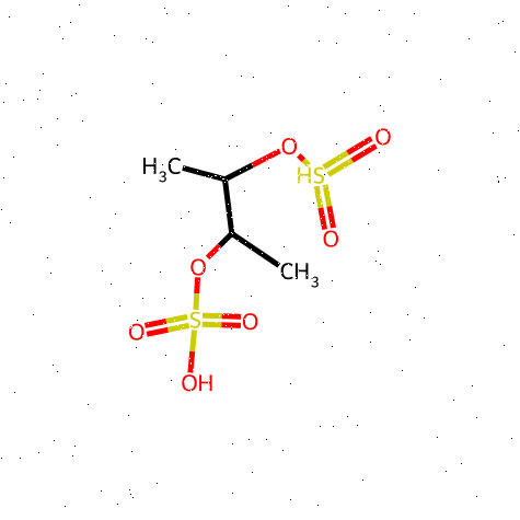 CC(O[SH](=O)=O)C(C)OS(=O)(=O)O